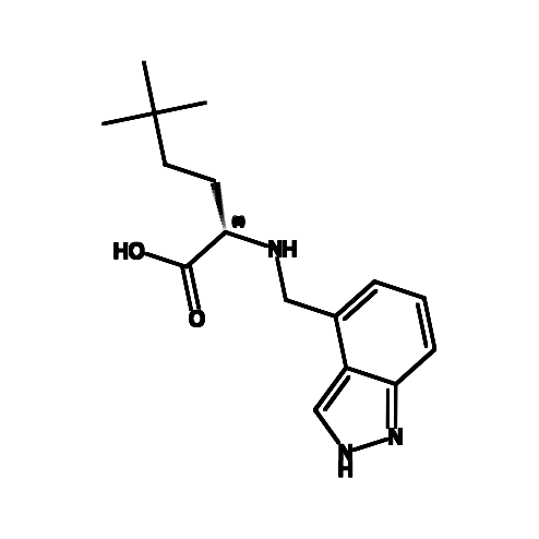 CC(C)(C)CC[C@H](NCc1cccc2n[nH]cc12)C(=O)O